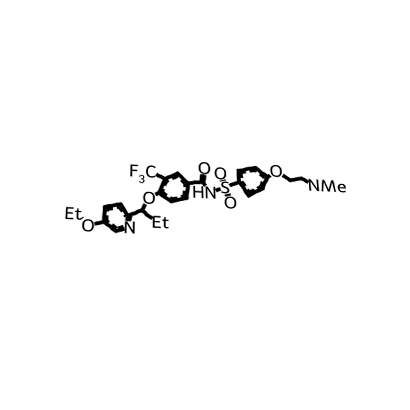 CCOc1ccc(C(CC)Oc2ccc(C(=O)NS(=O)(=O)c3ccc(OCCNC)cc3)cc2C(F)(F)F)nc1